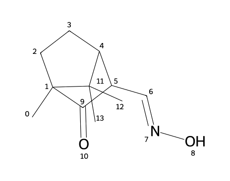 CC12CCC(C(C=NO)C1=O)C2(C)C